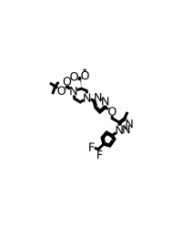 COC(=O)[C@@H]1CN(c2ccc(OCc3c(C)nnn3-c3ccc(C(F)F)cc3)nn2)CCN1C(=O)OC(C)(C)C